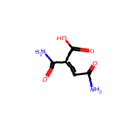 NC(=O)/C=C(/C(N)=O)C(=O)O